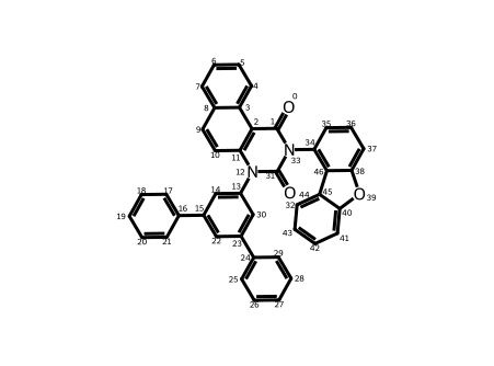 O=c1c2c3ccccc3ccc2n(-c2cc(-c3ccccc3)cc(-c3ccccc3)c2)c(=O)n1-c1cccc2oc3ccccc3c12